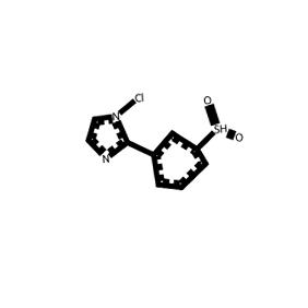 O=[SH](=O)c1cccc(-c2nccn2Cl)c1